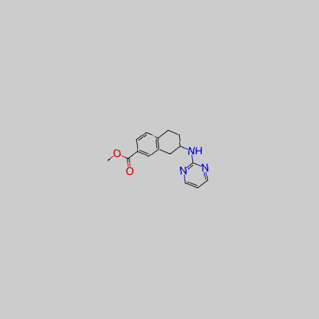 COC(=O)c1ccc2c(c1)CC(Nc1ncccn1)CC2